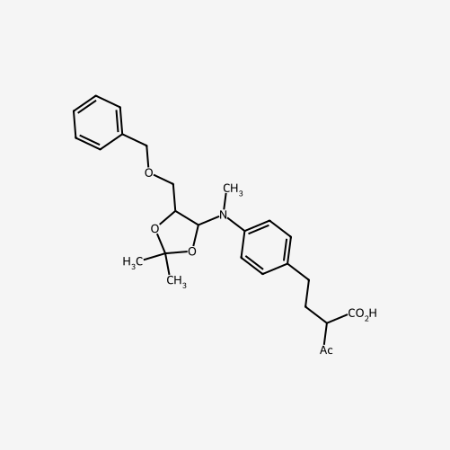 CC(=O)C(CCc1ccc(N(C)C2OC(C)(C)OC2COCc2ccccc2)cc1)C(=O)O